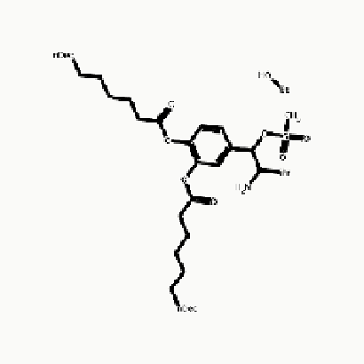 CCCCCCCCCCCCCCCC(=O)Oc1ccc(C(OS(C)(=O)=O)C(N)C(C)C)cc1OC(=O)CCCCCCCCCCCCCCC.CCO